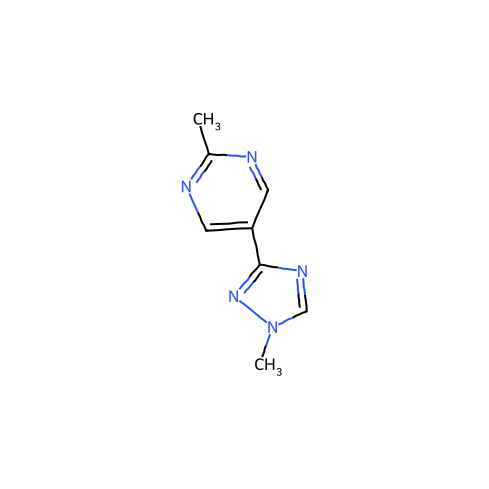 Cc1ncc(-c2ncn(C)n2)cn1